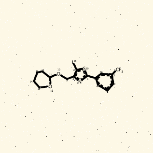 FC(F)(F)c1cccc(-c2nc(COC3CCCCO3)c(I)s2)c1